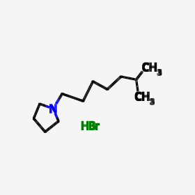 Br.CC(C)CCCCCN1CCCC1